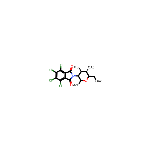 CC(=O)OCC1OC(OC(C)=O)C(N2C(=O)c3c(Cl)c(Cl)c(Cl)c(Cl)c3C2=O)[C@@H](C)[C@H]1OC(C)=O